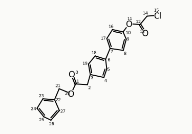 O=C(Cc1ccc(-c2ccc(OC(=O)CCl)cc2)cc1)OCc1ccccc1